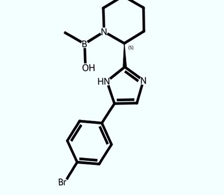 CB(O)N1CCCC[C@H]1c1ncc(-c2ccc(Br)cc2)[nH]1